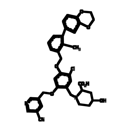 Cc1c(COc2cc(OCc3cncc(C#N)c3)c(CN3CCC(O)CC3C(=O)O)cc2Cl)cccc1-c1ccc2c(c1)OCCO2